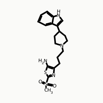 CS(=O)(=O)c1nc(CCCN2CCC(c3c[nH]c4ccccc34)CC2)c(N)s1